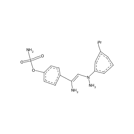 CC(C)c1cccc(N(N)/C=C(\N)c2ccc(OS(N)(=O)=O)cc2)c1